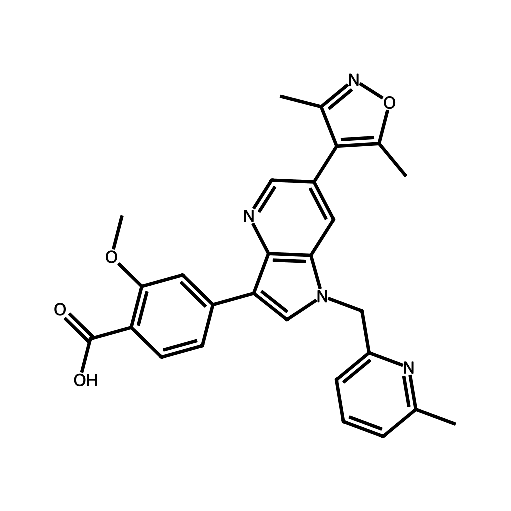 COc1cc(-c2cn(Cc3cccc(C)n3)c3cc(-c4c(C)noc4C)cnc23)ccc1C(=O)O